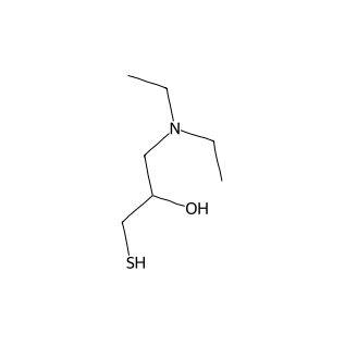 CCN(CC)CC(O)CS